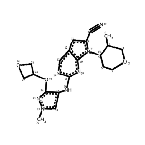 CC1COCC[C@H]1n1c(C#N)cc2cnc(Nc3cn(C)nc3OC3COC3)nc21